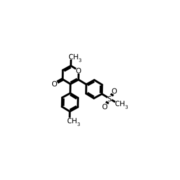 Cc1ccc(-c2c(-c3ccc(S(C)(=O)=O)cc3)oc(C)cc2=O)cc1